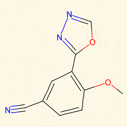 COc1ccc(C#N)cc1-c1nnco1